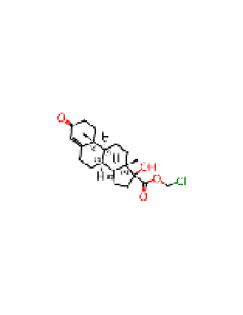 C[C@]12CCC(=O)C=C1CC[C@@H]1[C@@H]2CC[C@@]2(C)[C@H]1CCC2(O)C(=O)OCCl